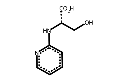 O=C(O)[C@H](CO)Nc1ccccn1